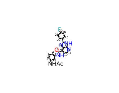 CC(=O)Nc1cccc(NC(=O)c2ccnc3[nH]c(-c4ccc(F)cc4)nc23)c1